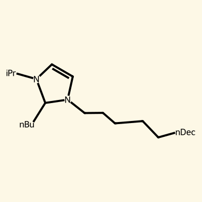 CCCCCCCCCCCCCCCN1C=CN(C(C)C)C1CCCC